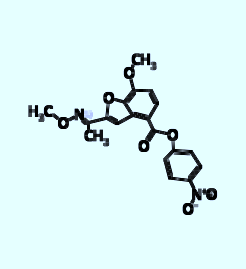 CO/N=C(\C)c1cc2c(C(=O)Oc3ccc([N+](=O)[O-])cc3)ccc(OC)c2o1